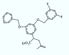 C=C(C)CC(C(=O)OCC)c1cc(OCc2ccccc2)cc(OCc2cc(F)cc(F)c2)c1